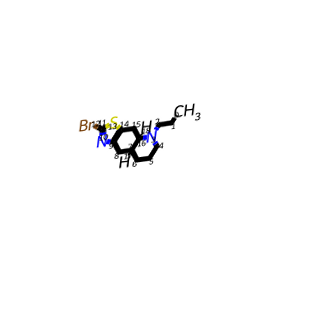 CCCN1CCC[C@@H]2Cc3nc(Br)sc3C[C@H]21